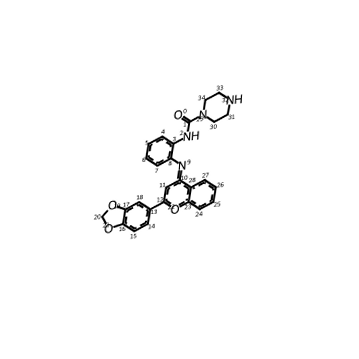 O=C(Nc1ccccc1/N=c1\cc(-c2ccc3c(c2)OCO3)oc2ccccc12)N1CCNCC1